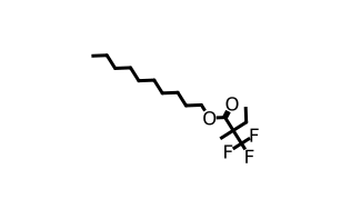 CCCCCCCCCCOC(=O)C(C)(CC)C(F)(F)F